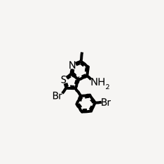 Cc1cc(N)c2c(-c3cccc(Br)c3)c(Br)sc2n1